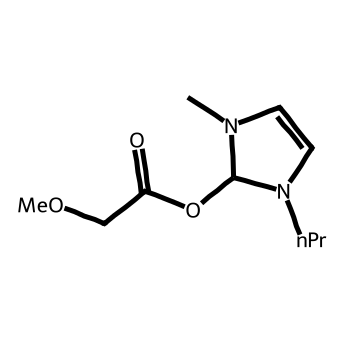 CCCN1C=CN(C)C1OC(=O)COC